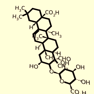 CC1(C)CC[C@]2(C(=O)O)CC[C@]3(C)C(=CC[C@@H]4[C@@]5(C)C[C@H](O)C(O[C@@H]6O[C@H](C(=O)O)[C@@H](O)[C@H](O)[C@H]6O)[C@@](C)(C=O)[C@@H]5CC[C@]43C)[C@@H]2C1